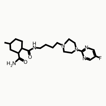 CC1CCC(C(=O)NCCCCN2CCN(c3ncc(F)cn3)CC2)C(C(N)=O)C1